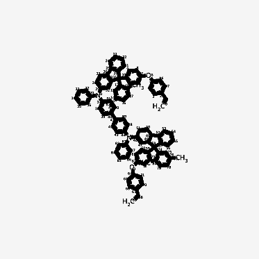 C=Cc1ccc(Oc2ccc(C3(c4cc(C)ccc4C)c4ccccc4-c4ccc(N(c5ccccc5)c5ccc(-c6ccc(N(C7=CC8C(C=C7)c7ccccc7C8(c7ccc(Oc8ccc(C=C)cc8)cc7)c7cc(C)ccc7C)c7ccccc7)cc6)cc5)cc43)cc2)cc1